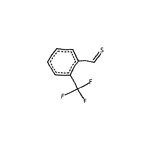 FC(F)(F)c1ccccc1C=S